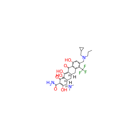 CCCN(Cc1cc(O)c2c(c1C(F)(F)F)C[C@H]1C[C@H]3[C@H](N(C)C)C(O)=C(C(N)=O)C(=O)[C@@]3(O)C(O)=C1C2=O)CC1CC1